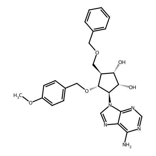 COc1ccc(CO[C@@H]2[C@@H](COCc3ccccc3)[C@H](O)[C@H](O)[C@H]2n2cnc3c(N)ncnc32)cc1